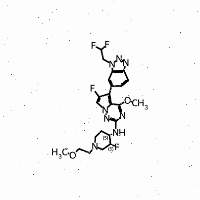 COCCN1CC[C@H](Nc2nc(OC)c3c(-c4ccc5nnn(CC(F)F)c5c4)c(F)cn3n2)[C@@H](F)C1